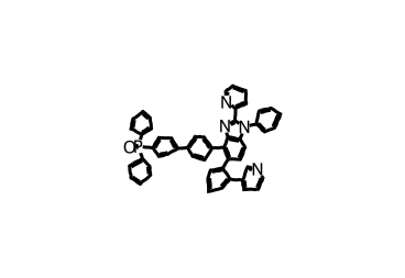 O=P(c1ccccc1)(c1ccccc1)c1ccc(-c2ccc(-c3c(-c4ccccc4-c4cccnc4)ccc4c3nc(-c3ccccn3)n4-c3ccccc3)cc2)cc1